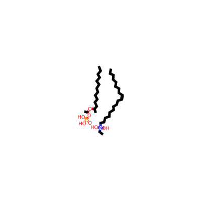 CCCCCCCC/C=C\CCCCCCCCC[N+](O)(O)CC.CCCCCCCCCCCCC(C)OC(C)OP(=O)(O)O